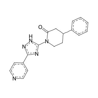 O=C1CC(c2ccccc2)CCN1c1nc(-c2ccncc2)n[nH]1